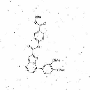 CCCCOC(=O)c1ccc(NC(=O)c2cc3nccc(-c4ccc(OC)c(OC)c4)n3n2)cc1